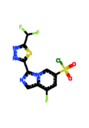 O=S(=O)(Cl)c1cc(F)c2cnc(-c3nnc(C(F)F)s3)n2c1